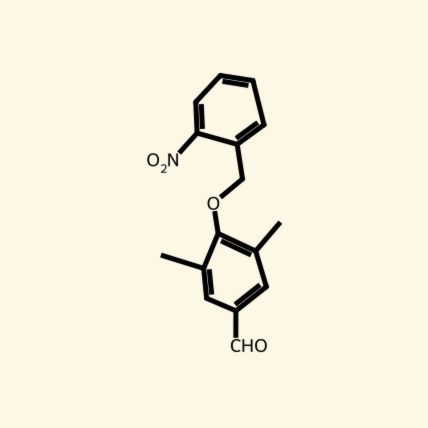 Cc1cc(C=O)cc(C)c1OCc1ccccc1[N+](=O)[O-]